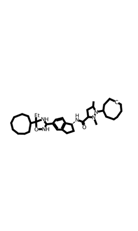 CCC1(C2CCCCCCCC2)NC(c2ccc3c(c2)CC[C@H]3NC(=O)C2CC(C)N(C3CCCCCCCC3)N2C)NO1